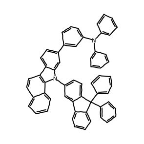 c1ccc(N(c2ccccc2)c2cccc(-c3ccc4c5ccc6ccccc6c5n(-c5ccc6c(c5)-c5ccccc5C6(c5ccccc5)c5ccccc5)c4c3)c2)cc1